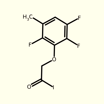 Cc1cc(F)c(F)c(OCC(=O)I)c1F